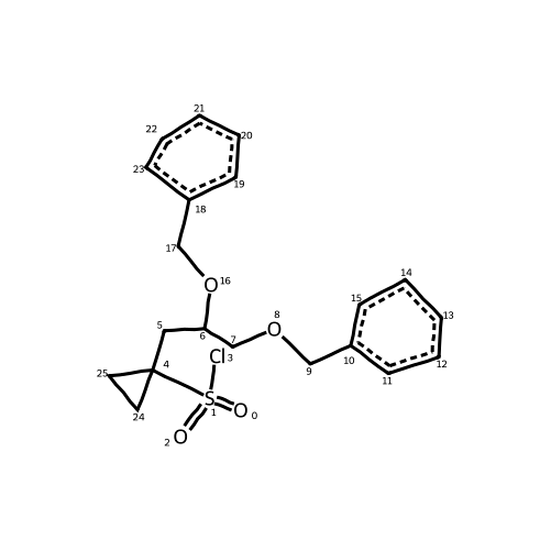 O=S(=O)(Cl)C1(CC(COCc2ccccc2)OCc2ccccc2)CC1